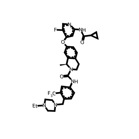 CCN1CCN(Cc2ccc(NC(=O)N3CCc4ccc(Oc5cc(NC(=O)C6CC6)ncc5F)cc4[C@@H]3C)cc2C(F)(F)F)CC1